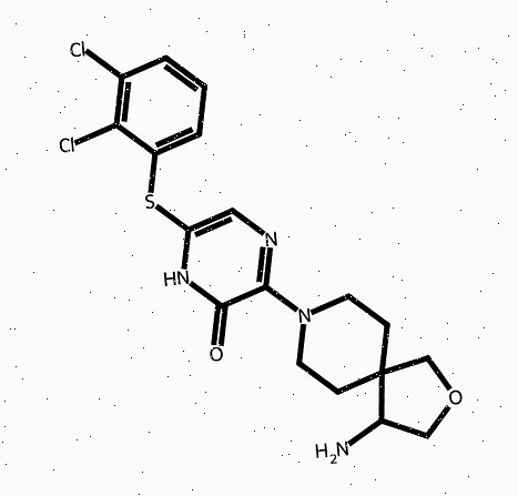 NC1COCC12CCN(c1ncc(Sc3cccc(Cl)c3Cl)[nH]c1=O)CC2